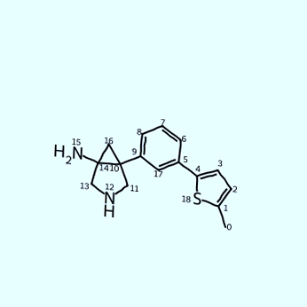 Cc1ccc(-c2cccc(C34CNCC3(N)C4)c2)s1